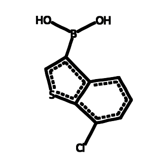 OB(O)c1csc2c(Cl)cccc12